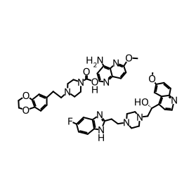 COc1ccc2nccc(N)c2n1.COc1ccc2nccc([C@@H](O)CN3CCN(CCc4nc5cc(F)ccc5[nH]4)CC3)c2c1.O=C(O)N1CCN(CCc2ccc3c(c2)OCCO3)CC1